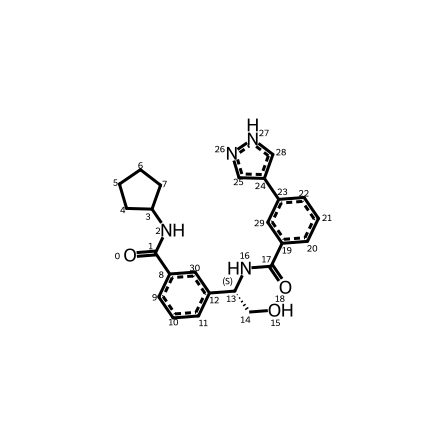 O=C(NC1CCCC1)c1cccc([C@@H](CO)NC(=O)c2cccc(-c3cn[nH]c3)c2)c1